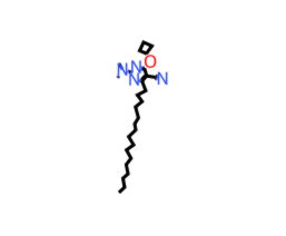 CCCCCCCCCCCCCCCCc1nc(N(C)C)nc(OC2CCC2)c1C#N